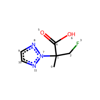 CC(CF)(C(=O)O)n1nccn1